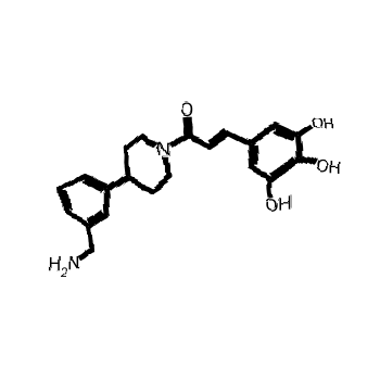 NCc1cccc(C2CCN(C(=O)C=Cc3cc(O)c(O)c(O)c3)CC2)c1